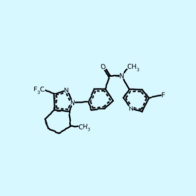 CC1CCCc2c(C(F)(F)F)nn(-c3cccc(C(=O)N(C)c4cncc(F)c4)c3)c21